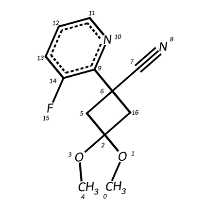 COC1(OC)CC(C#N)(c2ncccc2F)C1